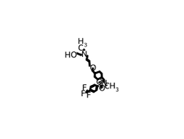 CCN(C/C=C/COCC1CCC(CN(C)S(=O)(=O)c2ccc(C(F)(F)F)cc2)CC1)CCO